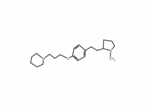 CN1CCCC1CCc1ccc(OCCCN2CCCCC2)cc1